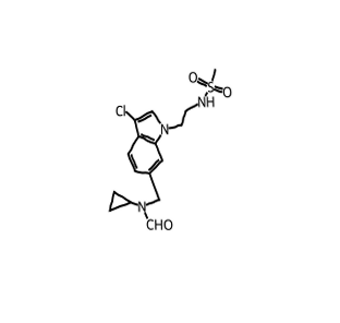 CS(=O)(=O)NCCn1cc(Cl)c2ccc(CN(C=O)C3CC3)cc21